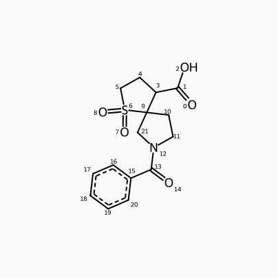 O=C(O)C1CCS(=O)(=O)C12CCN(C(=O)c1ccccc1)C2